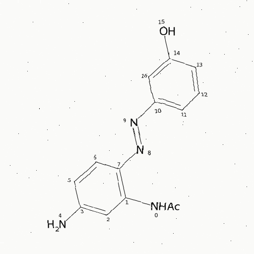 CC(=O)Nc1cc(N)ccc1N=Nc1cccc(O)c1